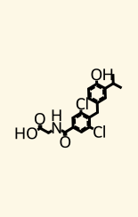 CC(C)c1cc(Cc2c(Cl)cc(C(=O)NCC(=O)O)cc2Cl)ccc1O